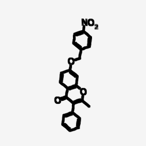 Cc1oc2cc(OCc3ccc([N+](=O)[O-])cc3)ccc2c(=O)c1-c1ccccc1